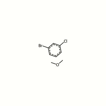 COC.Clc1cccc(Br)c1